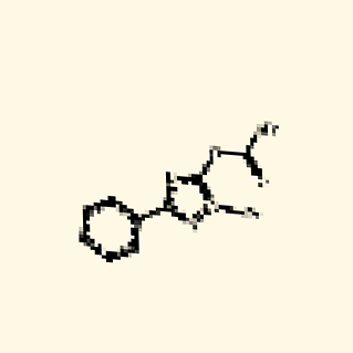 CCCC(=O)Oc1nc(-c2ccccc2)nn1C(C)C